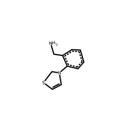 NCc1ccccc1N1C=CSC1